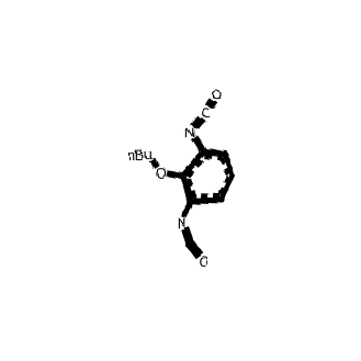 CCCCOc1c(N=C=O)cccc1N=C=O